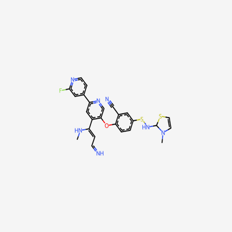 CN/C(=C\C=N)c1cc(-c2ccnc(F)c2)ncc1Oc1ccc(SNC2SC=CN2C)cc1C#N